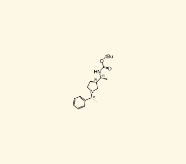 C[C@H](NC(=O)OC(C)(C)C)[C@@H]1CCN([C@H](C)c2ccccc2)C1